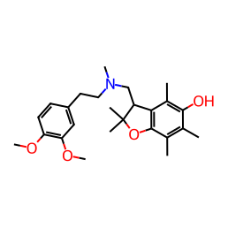 COc1ccc(CCN(C)CC2c3c(C)c(O)c(C)c(C)c3OC2(C)C)cc1OC